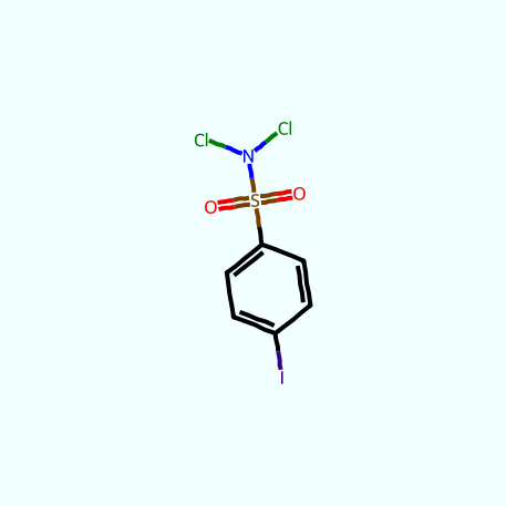 O=S(=O)(c1ccc(I)cc1)N(Cl)Cl